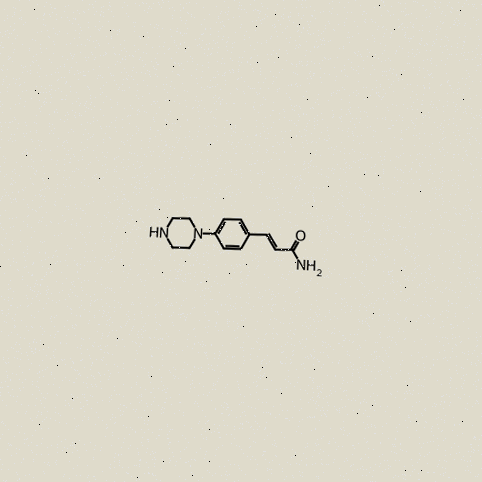 NC(=O)/C=C/c1ccc(N2CCNCC2)cc1